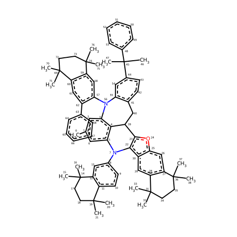 Cc1cc2c3c(c1)N(c1ccc4c(c1)C(C)(C)CCC4(C)C)c1c(oc4cc5c(cc14)C(C)(C)CCC5(C)C)C3Cc1ccc(C(C)(C)c3ccccc3)cc1N2c1cc2c(cc1-c1ccccc1)C(C)(C)CCC2(C)C